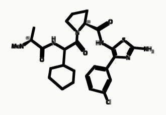 CN[C@@H](C)C(=O)NC(C(=O)N1CCC[C@H]1C(=O)Nc1sc(N)nc1-c1cccc(Cl)c1)C1CCCCC1